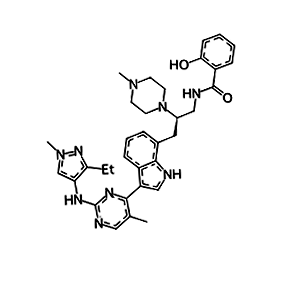 CCc1nn(C)cc1Nc1ncc(C)c(-c2c[nH]c3c(C[C@H](CNC(=O)c4ccccc4O)N4CCN(C)CC4)cccc23)n1